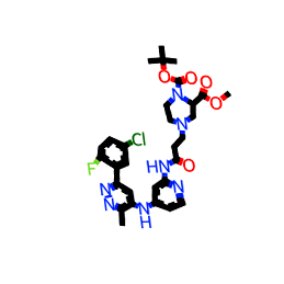 COC(=O)C1CN(CCC(=O)Nc2cc(Nc3cc(-c4cc(Cl)ccc4F)nnc3C)ccn2)CCN1C(=O)OC(C)(C)C